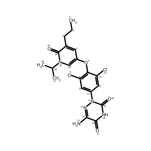 CCCc1cc(Oc2c(Cl)cc(-n3nc(N)c(=O)[nH]c3=O)cc2Cl)cn(C(C)C)c1=O